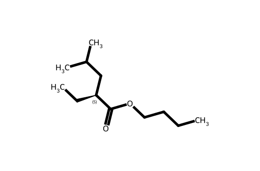 CCCCOC(=O)[C@@H](CC)CC(C)C